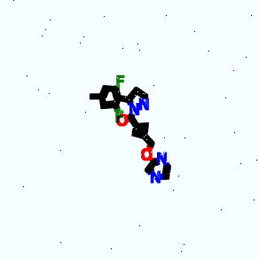 Cc1cc(F)c(C2CC=NN2C(=O)C23CC(COc4cnccn4)(C2)C3)c(F)c1